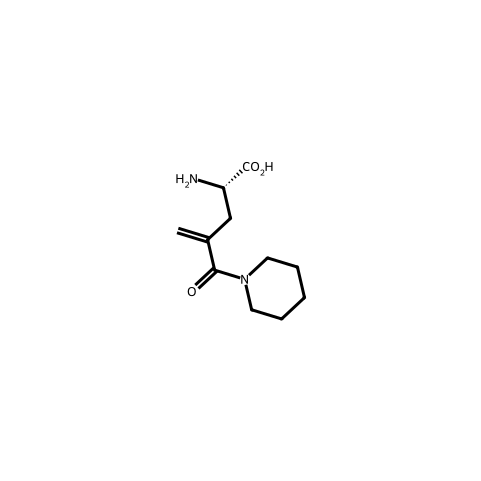 C=C(C[C@H](N)C(=O)O)C(=O)N1CCCCC1